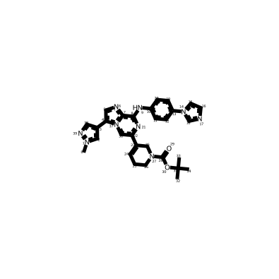 Cn1cc(-c2cnc3c(Nc4ccc(-n5ccnc5)cc4)nc(C4=CCCN(C(=O)OC(C)(C)C)C4)cn23)cn1